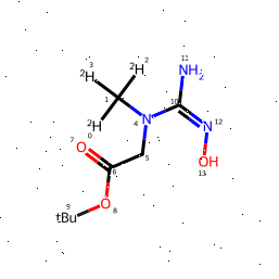 [2H]C([2H])([2H])N(CC(=O)OC(C)(C)C)/C(N)=N\O